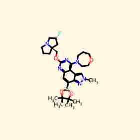 Cn1cc2c(n1)c(B1OC(C)(C)C(C)(C)O1)cc1nc(OC[C@@]34CCCN3C[C@H](F)C4)nc(N3CCCOCC3)c12